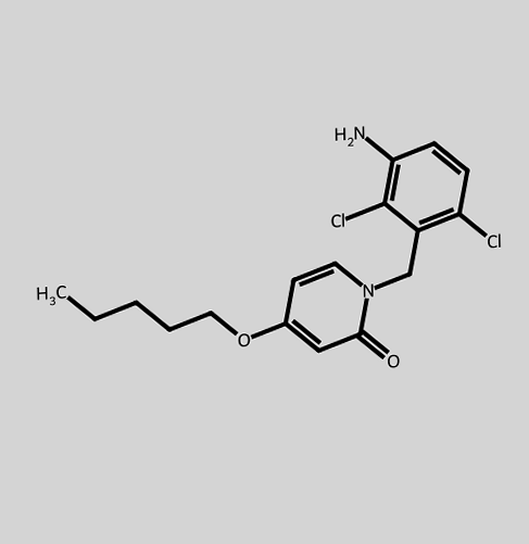 CCCCCOc1ccn(Cc2c(Cl)ccc(N)c2Cl)c(=O)c1